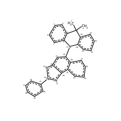 CC1(C)c2ccccc2N(c2cc3nn(-c4ccccc4)nc3c3ccccc23)c2ccccc21